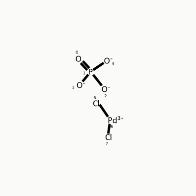 O=P([O-])([O-])[O-].[Cl][Pd+3][Cl]